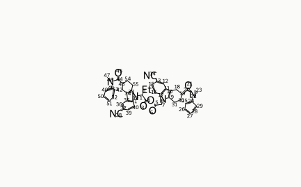 CCC(C(=O)OC(=O)Cn1c2c(c3cc(C#N)ccc31)CC(C(=O)N(C)c1ccccc1)CC2)n1c2c(c3cc(C#N)ccc31)CC(C(=O)N(C)c1ccccc1)CC2